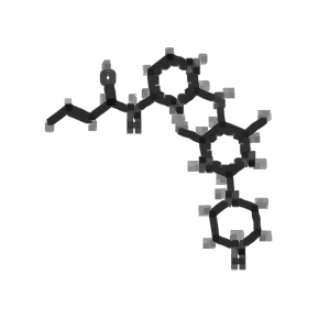 CC=CC(=O)Nc1ccnc(Sc2c(C)nc(N3CCNCC3)nc2C)n1